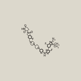 Cc1nc2c(F)cc(-c3nc(Nc4ccc(N5CCC(N6CCN(Cc7cc8c(cc7F)C(=O)N(C7CCC(=O)NC7=O)C8)CC6)CC5)cn4)ncc3F)cc2n1C(C)C